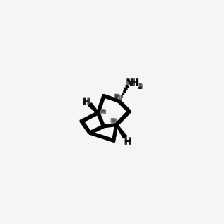 N[C@H]1C[C@H]2CC3C[C@@H](C1)C32